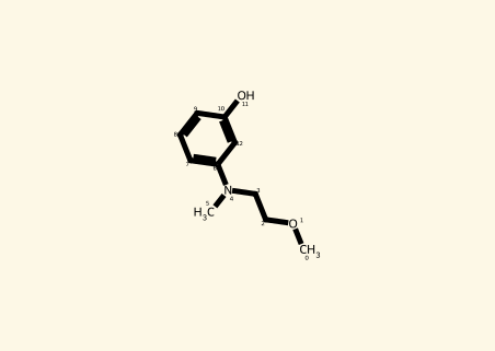 COCCN(C)c1cccc(O)c1